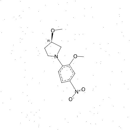 COc1cc([N+](=O)[O-])ccc1N1CC[C@@H](OC)C1